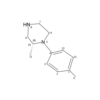 Cc1ccc(N2CCNC[C@H]2C)cc1